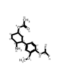 COc1cc(C2CC(OC(C)=O)CCC2N)ccc1OC(F)F